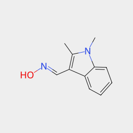 Cc1c(C=NO)c2ccccc2n1C